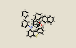 c1ccc(-c2cccc(N(c3ccc(-c4ccc5ccccc5c4)cc3)c3cccc4sc5ccc6oc7c8ccccc8ccc7c6c5c34)c2)cc1